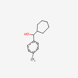 OC(c1ccc(C(F)(F)F)cc1)C1CCCCC1